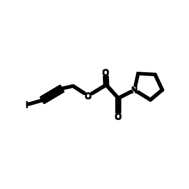 O=C(OCC#CI)C(=O)N1CCCC1